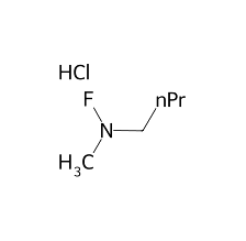 CCCCN(C)F.Cl